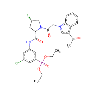 CCOP(=O)(OCC)c1cc(Cl)cc(NC(=O)[C@@H]2C[C@@H](F)CN2C(=O)Cn2cc(C(C)=O)c3ccccc32)c1